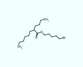 CCCCCCC(CCCC)C(=O)OCCCCCBr